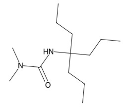 CCCC(CCC)(CCC)NC(=O)N(C)C